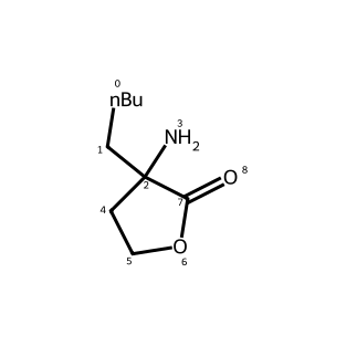 CCCCCC1(N)CCOC1=O